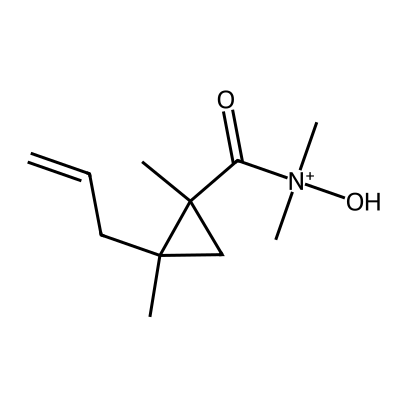 C=CCC1(C)CC1(C)C(=O)[N+](C)(C)O